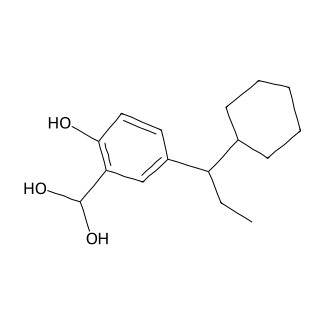 CCC(c1ccc(O)c(C(O)O)c1)C1CCCCC1